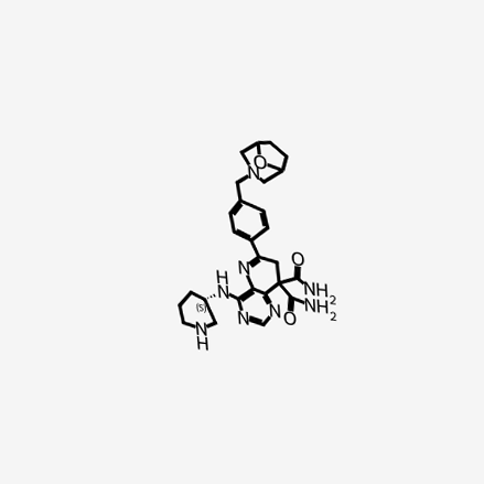 NC(=O)C1(C(N)=O)CC(c2ccc(CN3CC4CCC(C3)O4)cc2)=Nc2c(N[C@H]3CCCNC3)ncnc21